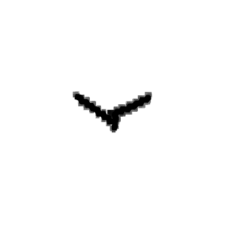 [CH2]Cc1cc(CCCCCCCCCCC)nc(CCCCCCCCCCC)c1